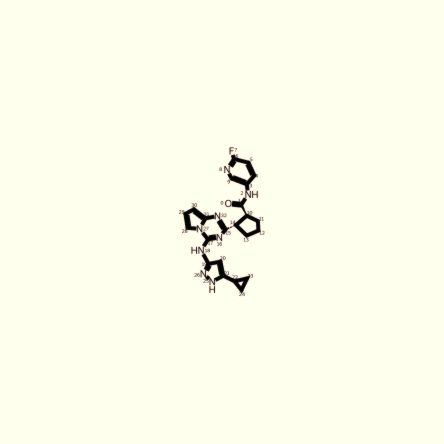 O=C(Nc1ccc(F)nc1)[C@H]1CCC[C@@H]1c1nc(Nc2cc(C3CC3)[nH]n2)n2cccc2n1